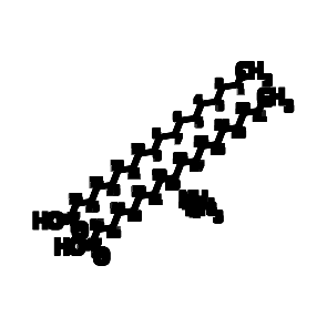 CCCCCCCCCCCCCCCCCC(=O)O.CCCCCCCCCCCCCCCCCC(=O)O.N.N